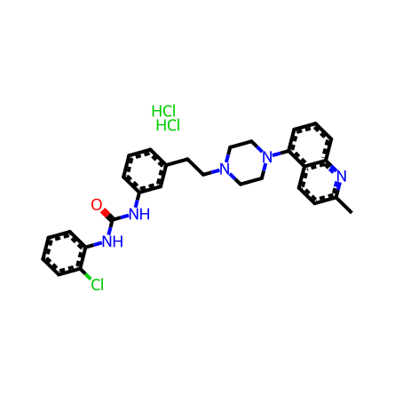 Cc1ccc2c(N3CCN(CCc4cccc(NC(=O)Nc5ccccc5Cl)c4)CC3)cccc2n1.Cl.Cl